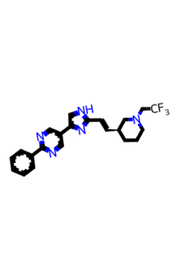 FC(F)(F)CN1CCC[C@@H](/C=C/c2nc(-c3cnc(-c4ccccc4)nc3)c[nH]2)C1